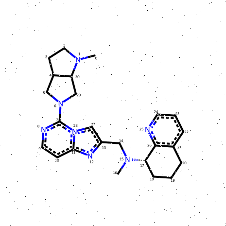 CN1CCC2CN(c3nccc4nc(CN(C)[C@H]5CCCc6cccnc65)cn34)CC21